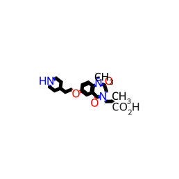 CC(CN1CC(=O)N(C)c2ccc(OCCC3CCNCC3)cc2C1=O)C(=O)O